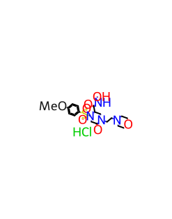 COc1ccc(S(=O)(=O)N2CC(=O)N(CCN3CCOCC3)CC2C(=O)NO)cc1.Cl